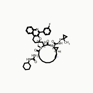 CC1(SNC(=O)[C@@]23C[C@H]2/C=C\CCCCC[C@H](NC(=O)NC2CCCCC2)C(=O)N2C[C@@]4(CCc5c(c(-c6cccc(F)c6)nc6ccccc56)O4)C[C@H]2C(=O)N3)CC1